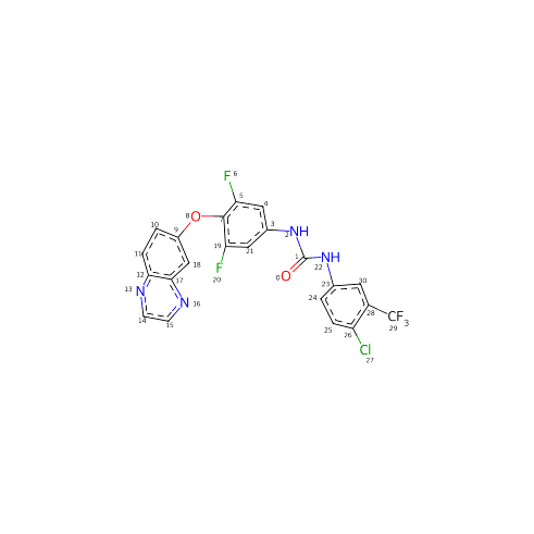 O=C(Nc1cc(F)c(Oc2ccc3nccnc3c2)c(F)c1)Nc1ccc(Cl)c(C(F)(F)F)c1